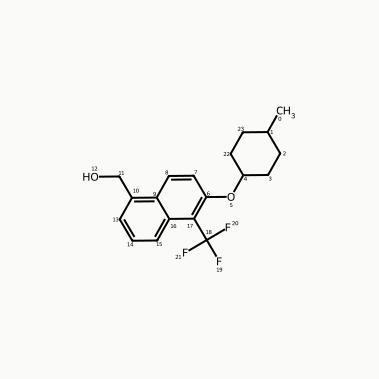 CC1CCC(Oc2ccc3c(CO)cccc3c2C(F)(F)F)CC1